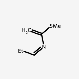 C=C(/N=C\CC)SC